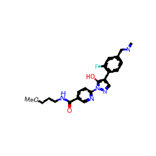 C=NCc1ccc(-c2cnn(-c3ccc(C(=O)NCCCOC)cn3)c2O)c(F)c1